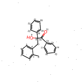 Cc1ccccc1CC(O)(C(=O)c1ccccc1)c1ccccc1